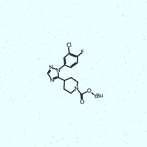 CC(C)(C)OC(=O)N1CCC(c2ncnn2-c2ccc(F)c(Cl)c2)CC1